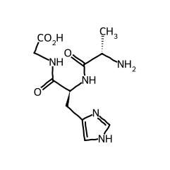 C[C@H](N)C(=O)N[C@@H](Cc1c[nH]cn1)C(=O)NCC(=O)O